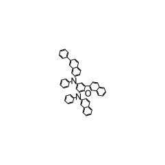 c1ccc(-c2ccc3ccc(N(c4ccccc4)c4cc(N(c5ccccc5)c5ccc6ccccc6c5)c5oc6c7ccccc7ccc6c5c4)cc3c2)cc1